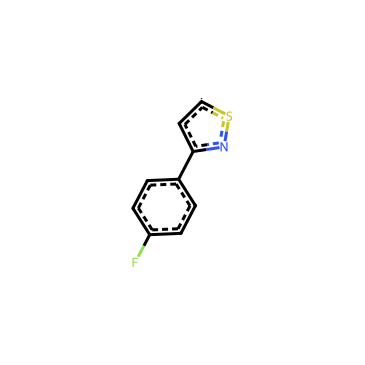 Fc1ccc(-c2c[c]sn2)cc1